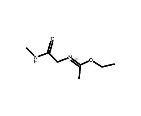 CCO/C(C)=N/CC(=O)NC